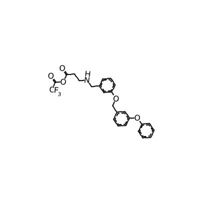 O=C(CCNCc1cccc(OCc2cccc(Oc3ccccc3)c2)c1)OC(=O)C(F)(F)F